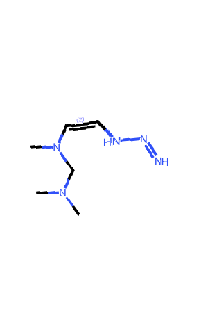 CN(C)CN(C)/C=C\NN=N